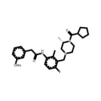 COc1cccc(CC(=O)Nc2ccc(F)c(CN3CCN(C(=O)C4CCCC4)[C@@H](C)C3)c2C)c1